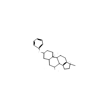 C[C@]12CCC(Nc3ccccc3)CC1[C@@H](O)[C@H](O)C1C3=C(CCC12)[C@](C)(I)CC3